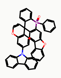 O=P1(c2ccccc2)c2ccccc2C2(c3ccccc3Oc3cc(-n4c5ccccc5c5ccccc54)ccc32)c2cc3c(cc21)oc1ccccc13